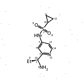 CC[C@H](N)c1cc(NS(=O)(=O)C2CC2)ccn1